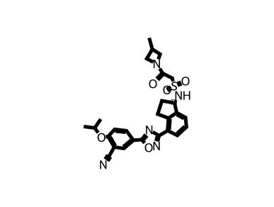 CC1CN(C(=O)CS(=O)(=O)N[C@@H]2CCc3c(-c4noc(-c5ccc(OC(C)C)c(C#N)c5)n4)cccc32)C1